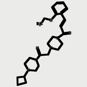 CCOc1ccccc1/C=C/C(=O)N1CCN(CC(=O)N2CCN(C3CCC3)CC2)CC1